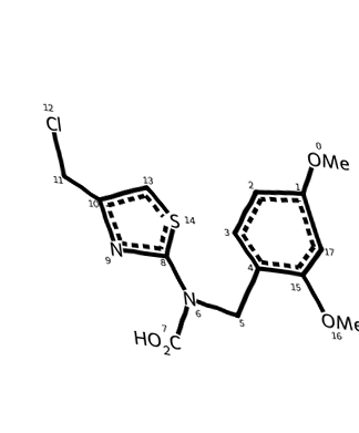 COc1ccc(CN(C(=O)O)c2nc(CCl)cs2)c(OC)c1